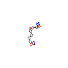 c1cc(-c2cccc(-c3ccc4oc5cccnc5c4c3)c2)cc(-c2ccc3oc4ccc(-c5ccc6oc7cccnc7c6c5)cc4c3c2)c1